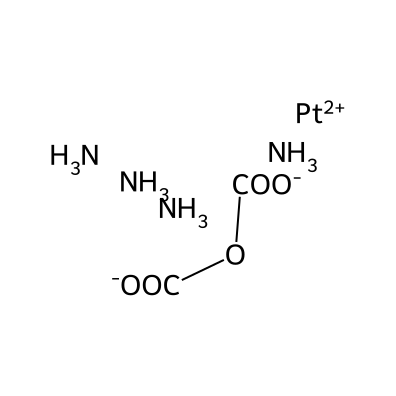 N.N.N.N.O=C([O-])OC(=O)[O-].[Pt+2]